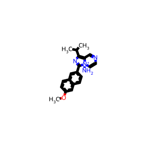 COc1ccc2cc(C3=NC(C(C)C)=C4C=NC=C[N+]34N)ccc2c1